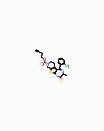 C#CCCOC(=O)N1CCc2c(sc3c2C(c2ccccc2Cl)=NC(C)C(=O)N3)C1